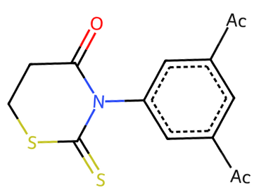 CC(=O)c1cc(C(C)=O)cc(N2C(=O)CCSC2=S)c1